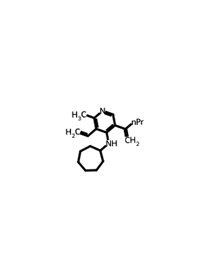 C=Cc1c(C)ncc(C(=C)CCC)c1NC1CCCCCC1